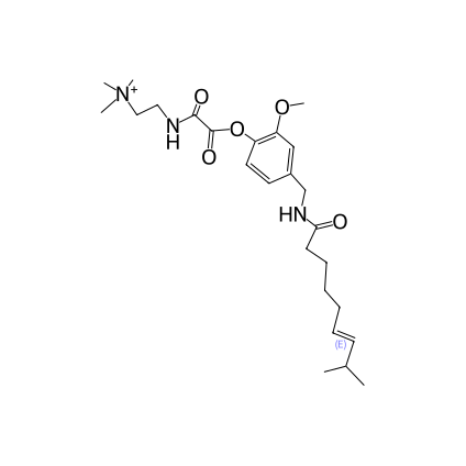 COc1cc(CNC(=O)CCCC/C=C/C(C)C)ccc1OC(=O)C(=O)NCC[N+](C)(C)C